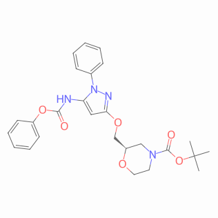 CC(C)(C)OC(=O)N1CCO[C@@H](COc2cc(NC(=O)Oc3ccccc3)n(-c3ccccc3)n2)C1